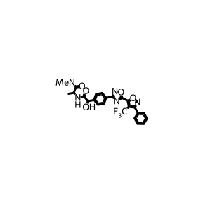 CNC(=O)C(C)NC(=O)C(O)c1ccc(-c2noc(-c3onc(-c4ccccc4)c3C(F)(F)F)n2)cc1